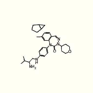 C1CC2CC2C1.Cc1ccc2c(c1)N(c1ccc(NCC(N)C(C)C)cc1)C(=O)N(C1CCOCC1)N=C2